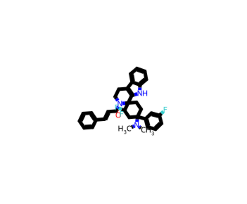 CN(C)C1(c2cccc(F)c2)CCC2(c3[nH]c4ccccc4c3CCN2C(=O)C=Cc2ccccc2)C(F)(F)C1